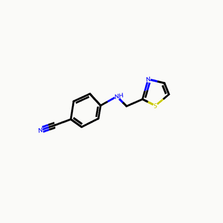 N#Cc1ccc(NCc2nccs2)cc1